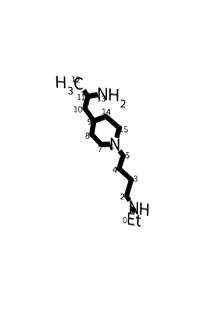 CCNCCCCN1CCC(CC(C)N)CC1